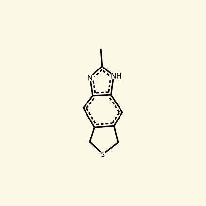 Cc1nc2cc3c(cc2[nH]1)CSC3